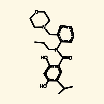 CCCN(C(=O)c1cc(C(C)C)c(O)cc1O)c1ccccc1CN1CCOCC1